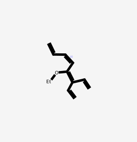 C=C/C=C\C(OCC)=C(C=C)C=C